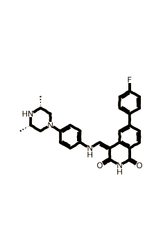 C[C@@H]1CN(c2ccc(N/C=C3\C(=O)NC(=O)c4ccc(-c5ccc(F)cc5)cc43)cc2)C[C@H](C)N1